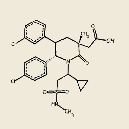 CNS(=O)(=O)CC(C1CC1)N1C(=O)[C@@](C)(CC(=O)O)CC(c2cccc(Cl)c2)[C@H]1c1ccc(Cl)cc1